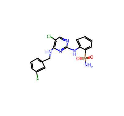 NS(=O)(=O)c1ccccc1Nc1ncc(Cl)c(NCc2cccc(F)c2)n1